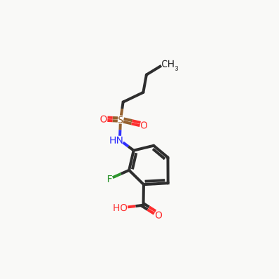 CCCCS(=O)(=O)Nc1cccc(C(=O)O)c1F